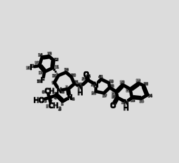 CC(C)(O)c1cnc2n1C[C@H](c1cccc(F)c1F)CC[C@H]2NC(=O)N1CCC(c2cc3ccccc3[nH]c2=O)CC1